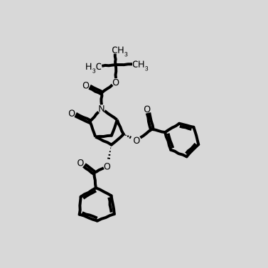 CC(C)(C)OC(=O)N1C(=O)C2CC1[C@H](OC(=O)c1ccccc1)[C@@H]2OC(=O)c1ccccc1